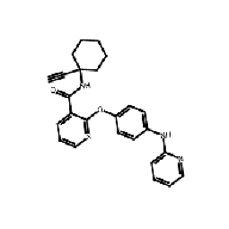 C#CC1(NC(=O)c2cccnc2Oc2ccc(Nc3ccccn3)cc2)CCCCC1